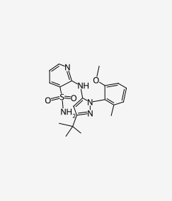 COc1cccc(C)c1-n1nc(C(C)(C)C)cc1Nc1ncccc1S(N)(=O)=O